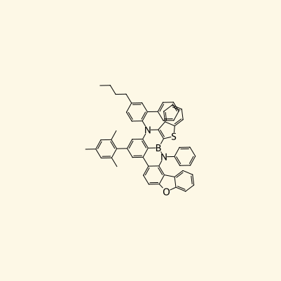 CCCCc1ccc(N2c3cc(-c4c(C)cc(C)cc4C)cc4c3B(c3sc5ccccc5c32)N(c2ccccc2)c2c-4ccc3oc4ccccc4c23)c(-c2ccccc2)c1